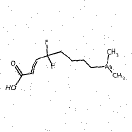 C[As](C)CCCCC(F)(F)C=CC(=O)O